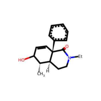 CCN1CC[C@H]2[C@H](C)C(O)C=C[C@]2(c2ccccc2)C1=O